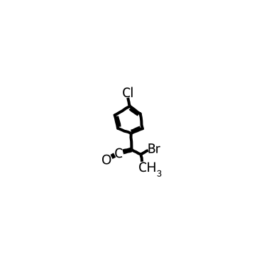 CC(Br)C(=C=O)c1ccc(Cl)cc1